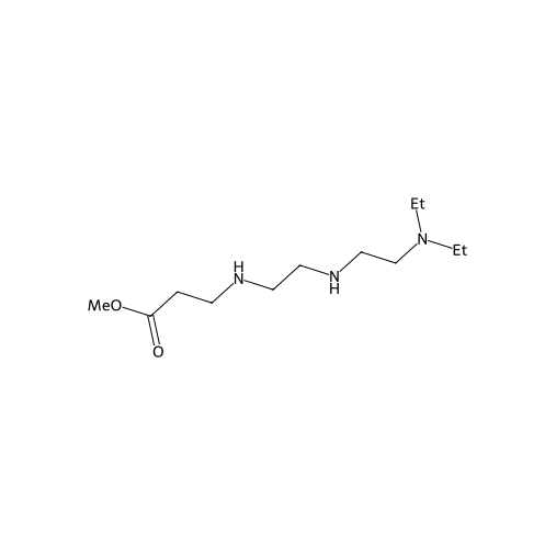 CCN(CC)CCNCCNCCC(=O)OC